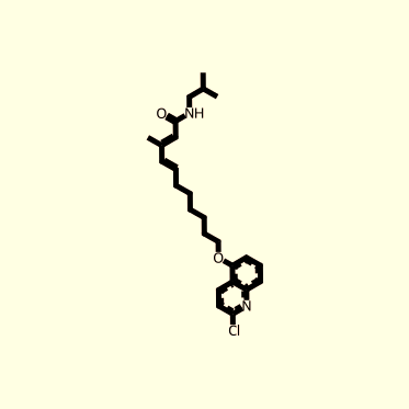 CC(C=CCCCCCCOc1cccc2nc(Cl)ccc12)=CC(=O)NCC(C)C